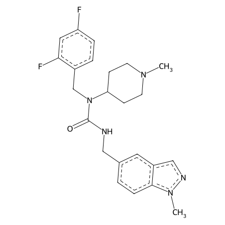 CN1CCC(N(Cc2ccc(F)cc2F)C(=O)NCc2ccc3c(cnn3C)c2)CC1